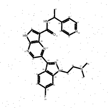 CC(NC(=O)c1c[nH]c2ncc(-c3nn(CCN(C)C)c4cc(F)ccc34)nc12)c1ccncc1